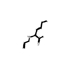 C=CCNC(CCCC)C(C)=O